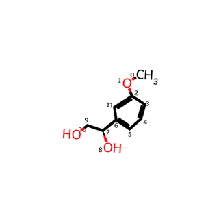 COc1cccc([C@@H](O)CO)c1